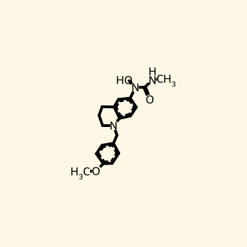 CNC(=O)N(O)c1ccc2c(c1)CCCN2Cc1ccc(OC)cc1